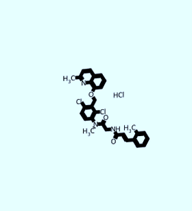 Cc1ccc2cccc(OCc3c(Cl)ccc(N(C)C(=O)CNC(=O)C=Cc4ccccc4C)c3Cl)c2n1.Cl